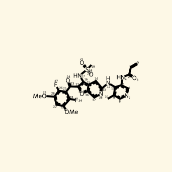 C=CC(=O)Nc1cncc(C)c1Nc1cc2c(NS(C)(=O)=O)c(C(=O)c3c(F)c(OC)cc(OC)c3F)oc2cn1